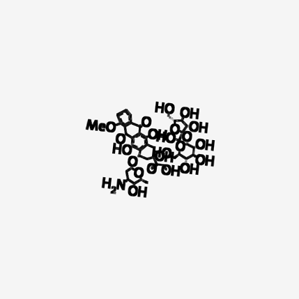 COc1cccc2c1C(=O)c1c(O)c3c(c(O)c1C2=O)C[C@@](O)(C(=O)CO)C[C@@H]3O[C@H]1C[C@H](N)[C@H](O)[C@H](C)O1.OC[C@H]1O[C@@](CO)(O[C@H]2O[C@H](CO)[C@@H](O)[C@H](O)[C@H]2O)[C@@H](O)[C@@H]1O